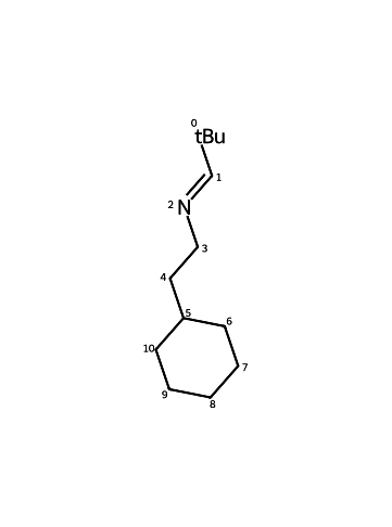 CC(C)(C)/C=N/CCC1CCCCC1